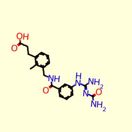 Cc1c(CCC(=O)O)cccc1CNC(=O)c1cccc(NC(N)=NC(N)=O)c1